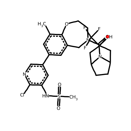 Cc1cc(-c2cnc(Cl)c(NS(C)(=O)=O)c2)cc2c1OCCN(C(=O)N1C3CCC1CC(O)(C(F)(F)F)C3)C2